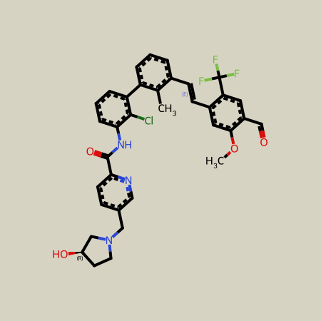 COc1cc(/C=C/c2cccc(-c3cccc(NC(=O)c4ccc(CN5CC[C@@H](O)C5)cn4)c3Cl)c2C)c(C(F)(F)F)cc1C=O